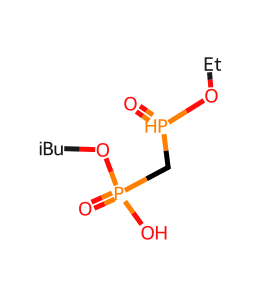 CCO[PH](=O)CP(=O)(O)OC(C)CC